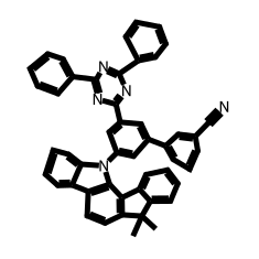 CC1(C)c2ccccc2-c2c1ccc1c3ccccc3n(-c3cc(-c4cccc(C#N)c4)cc(-c4nc(-c5ccccc5)nc(-c5ccccc5)n4)c3)c21